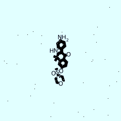 C=S(=O)(Oc1ccc2c(c1)C(C)(C)c1[nH]c3cc(N)ccc3c1C2=O)N1CCOCC1